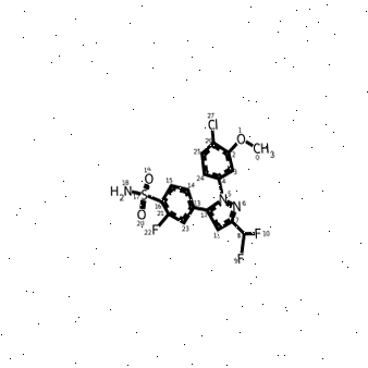 COc1cc(-n2nc(C(F)F)cc2-c2ccc(S(N)(=O)=O)c(F)c2)ccc1Cl